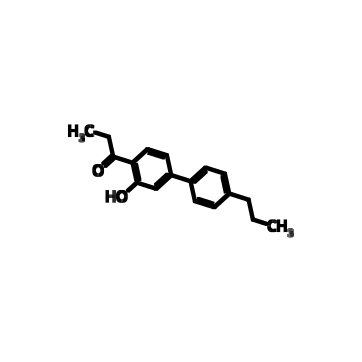 CCCc1ccc(-c2ccc(C(=O)CC)c(O)c2)cc1